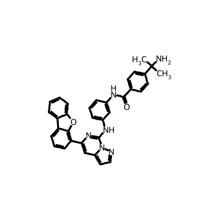 CC(C)(N)c1ccc(C(=O)Nc2cccc(Nc3nc(-c4cccc5c4oc4ccccc45)cc4ccnn34)c2)cc1